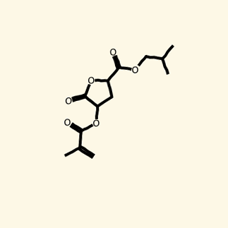 C=C(C)C(=O)OC1CC(C(=O)OCC(C)C)OC1=O